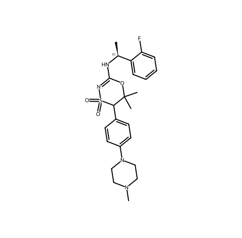 C[C@H](NC1=NS(=O)(=O)C(c2ccc(N3CCN(C)CC3)cc2)C(C)(C)O1)c1ccccc1F